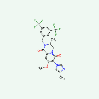 COc1cc2n(c(=O)c1-n1cnc(C)c1)CC(C)N(Cc1cc(C(F)(F)F)cc(C(F)(F)F)c1)C2=O